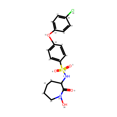 O=C1C(NS(=O)(=O)c2ccc(Oc3ccc(Cl)cc3)cc2)CCCCN1O